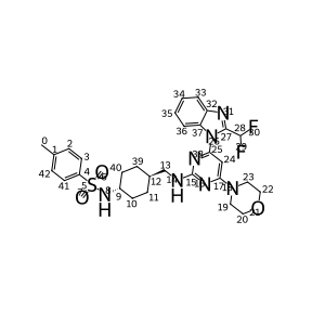 Cc1ccc(S(=O)(=O)N[C@H]2CC[C@H](CNc3nc(N4CCOCC4)cc(-n4c(C(F)F)nc5ccccc54)n3)CC2)cc1